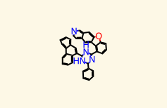 c1ccc(C2N=C(c3cccc4oc5cc6cnccc6cc5c34)NC(c3cc4ccccc4c4ccccc34)N2)cc1